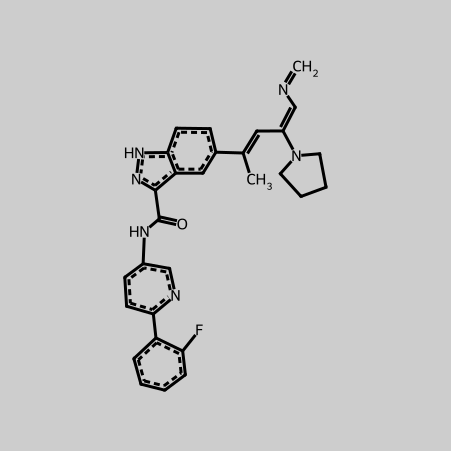 C=N/C=C(\C=C(/C)c1ccc2[nH]nc(C(=O)Nc3ccc(-c4ccccc4F)nc3)c2c1)N1CCCC1